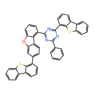 c1ccc(-c2nc(-c3cccc4c3sc3ccccc34)nc(-c3cccc4oc5cc(-c6cccc7c6sc6ccccc67)ccc5c34)n2)cc1